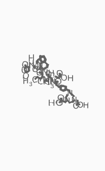 CC[C@H](C)C(C(=O)N[C@H]1CCc2cccc3c2N(C1=O)[C@H](C(=O)NC1CC(=O)OC1O)C3)N(C)C(=O)[C@H](CCC(=O)O)NC(=O)Cc1ccc(CN2CCN(CC(=O)O)CCN(CC(=O)O)CC2)cc1